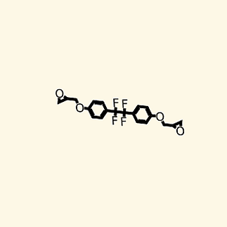 FC(F)(c1ccc(OCC2CO2)cc1)C(F)(F)c1ccc(OCC2CO2)cc1